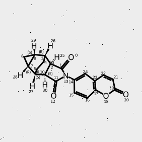 O=C1[C@@H]2[C@@H]3CC[C@@H]([C@@H]4C[C@@H]43)[C@@H]2C(=O)N1c1ccc2oc(=O)ccc2c1